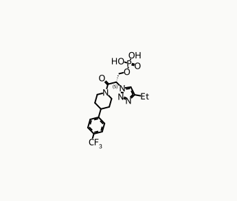 CCc1cn([C@@H](COP(=O)(O)O)C(=O)N2CCC(c3ccc(C(F)(F)F)cc3)CC2)nn1